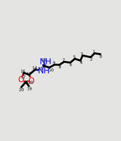 CCCCCCCCCCCC(=N)NCC1COC(C)(C)O1